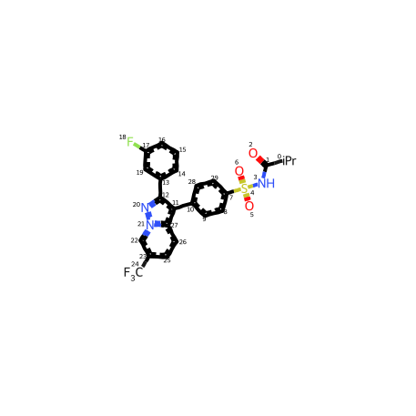 CC(C)C(=O)NS(=O)(=O)c1ccc(-c2c(-c3cccc(F)c3)nn3cc(C(F)(F)F)ccc23)cc1